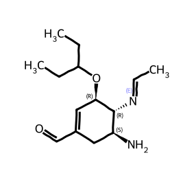 C/C=N/[C@@H]1[C@@H](N)CC(C=O)=C[C@H]1OC(CC)CC